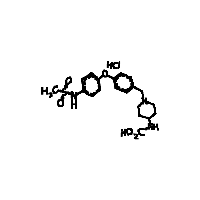 CS(=O)(=O)Nc1ccc(Oc2ccc(CN3CCC(NC(=O)O)CC3)cc2)cc1.Cl